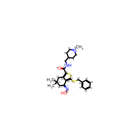 CN1CCC(CNC(=O)c2sc(SCc3ccccc3)c3c2CC(C)(C)C/C3=N\O)CC1